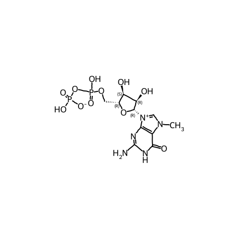 Cn1c[n+]([C@@H]2O[C@H](COP(=O)(O)OP(=O)([O-])O)[C@@H](O)[C@H]2O)c2nc(N)[nH]c(=O)c21